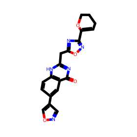 O=c1nc(Cc2nc(C3=CCCCO3)no2)[nH]c2ccc(-c3cnoc3)cc12